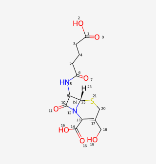 O=C(O)CCCC(=O)NC1C(=O)N2C(C(=O)O)=C(CO)CS[C@@H]12